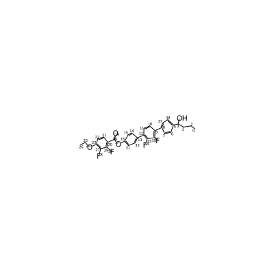 CCCC(O)c1ccc(-c2ccc(-c3ccc(OC(=O)c4ccc(OCC)c(F)c4F)cc3)c(F)c2F)cc1